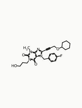 Cn1c(=O)n(CCCO)c(=O)c2c1nc(C#CCOC1CCCCC1)n2Cc1ccc(F)cc1